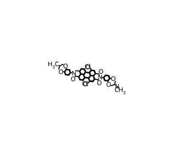 C=NC1COc2ccc(N3C(=O)c4cc(Cl)c5c6c(Cl)cc7c8c(cc(Cl)c(c9c(Cl)cc(c4c59)C3=O)c86)C(=O)N(c3ccc4c(c3)OCC(C)CO4)C7)cc2OC1